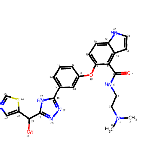 CN(C)CCNC(=O)c1c(Oc2cccc(-c3nnc(C(O)c4cncs4)[nH]3)c2)ccc2[nH]ccc12